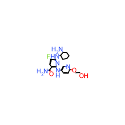 NC(=O)c1cc(F)c(NC2CCCC[C@@H]2N)nc1Nc1ccc(OCCO)nc1